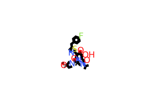 CO[C@@H]1CCN(C(=O)[C@@]2(C)CN(C(C)C)C(=O)c3c(O)c(=O)c(-c4ncc(Cc5ccc(F)cc5)s4)cn32)C1